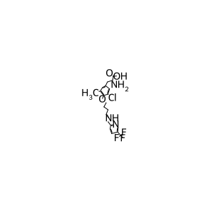 Cc1cc(C[C@H](N)C(=O)O)cc(Cl)c1OCCCCNCc1ccc(C(F)(F)F)cn1